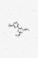 CNc1cccc(/C(=C/CN)CNN)c1